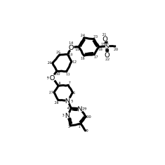 Cc1cnc(N2CCC(OC3CCC(Oc4ccc(S(C)(=O)=O)cc4)CC3)CC2)nc1